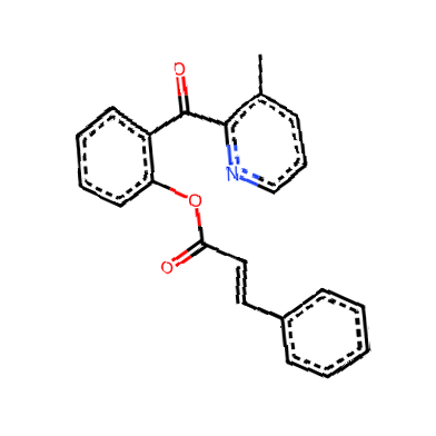 Cc1cccnc1C(=O)c1ccccc1OC(=O)C=Cc1ccccc1